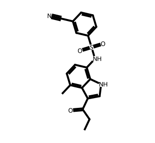 CCC(=O)c1c[nH]c2c(NS(=O)(=O)c3cccc(C#N)c3)ccc(C)c12